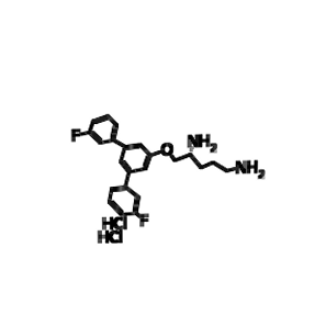 Cl.Cl.NCCC[C@@H](N)COc1cc(-c2cccc(F)c2)cc(-c2cccc(F)c2)c1